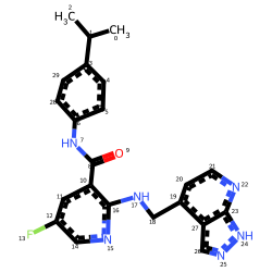 CC(C)c1ccc(NC(=O)c2cc(F)cnc2NCc2ccnc3[nH]ncc23)cc1